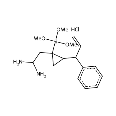 C=CC(c1ccccc1)C1CC1(CC(N)N)[Si](OC)(OC)OC.Cl